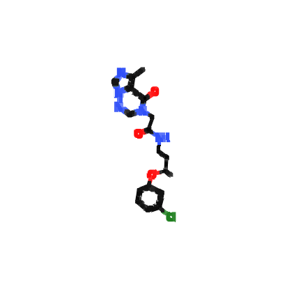 Cc1ncn2ncn(CC(=O)NCCC(C)Oc3cccc(Cl)c3)c(=O)c12